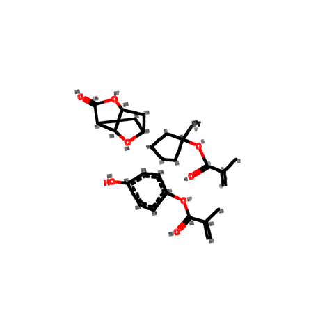 C=C(C)C(=O)OC1(C(C)C)CCCC1.C=C(C)C(=O)Oc1ccc(O)cc1.O=C1OC2[CH]C3CC1C2O3